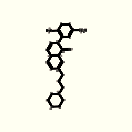 Cc1ccc(C(=O)O)cc1-n1ccc2ccc(CCCN3CCOCC3)cc2c1=O